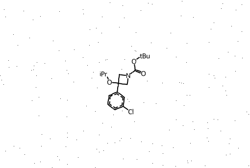 CC(C)OC1(c2cccc(Cl)c2)CN(C(=O)OC(C)(C)C)C1